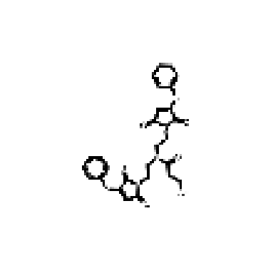 CC(=O)CCC(=O)N(CCN1C(=O)C=C(SC2=CCCC=C2)C1=O)CCN1C(=O)C=C(Sc2ccccc2)C1=O